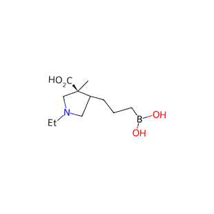 CCN1CC(CCCB(O)O)[C@](C)(C(=O)O)C1